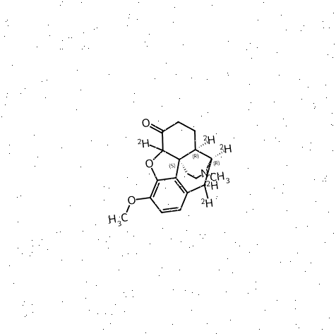 [2H]C12Oc3c(OC)ccc4c3[C@@]13CCN(C)[C@]([2H])(C4([2H])[2H])[C@]3([2H])CCC2=O